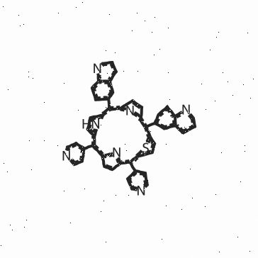 C1=Cc2nc1c(-c1ccncc1)c1ccc([nH]1)c(-c1ccc3ncccc3c1)c1nc(c(-c3ccc4ncccc4c3)c3ccc(s3)c2-c2ccncc2)C=C1